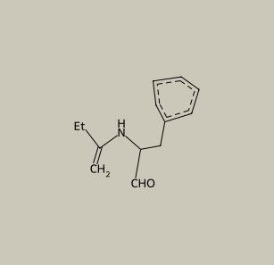 C=C(CC)NC(C=O)Cc1ccccc1